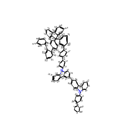 c1ccc(-c2ccc(-n3c4ccccc4c4cc(-c5ccc6c(c5)c5ccccc5n6-c5ccc(-c6ccc(-c7cccc(C8(c9ccc(-c%10ccccc%10-c%10ccccc%10)cc9)c9ccccc9-c9ccccc98)c7)cc6)cc5)ccc43)cc2)cc1